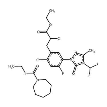 CCOC(=O)C(Cl)Cc1cc(-n2nc(C)n(C(F)F)c2=O)c(F)cc1Cl.CCSC(=O)N1CCCCCC1